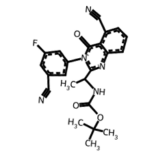 CC(NC(=O)OC(C)(C)C)c1nc2cccc(C#N)c2c(=O)n1-c1cc(F)cc(C#N)c1